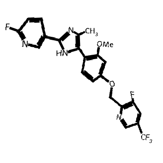 COc1cc(OCc2ncc(C(F)(F)F)cc2F)ccc1-c1[nH]c(-c2ccc(F)nc2)nc1C